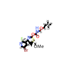 COC[C@]12C[C@H]1[C@@](C)(c1cc(Br)cnc1F)N=C(OC(=O)NCOCC[Si](C)(C)C)S2